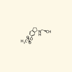 C#CCN[C@H]1CCc2ccc(OS(C)(=O)=O)cc21